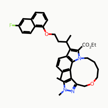 CCOC(=O)c1c(C(C)CCOc2cccc3cc(F)ccc23)c2ccc(C)c3c2n1CCCCOCc1nn(C)c(C)c1-3